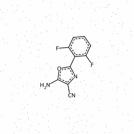 N#Cc1nc(-c2c(F)cccc2F)oc1N